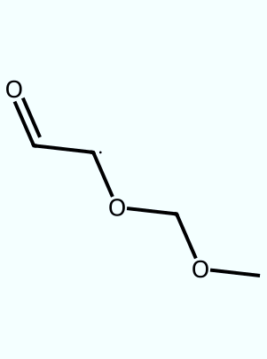 COCO[CH]C=O